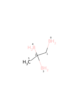 BCC(B)(B)C